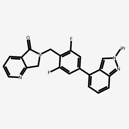 CC(C)n1cc2c(-c3cc(F)c(CN4Cc5ncccc5C4=O)c(F)c3)cccc2n1